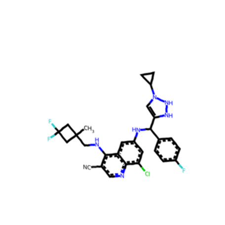 CC1(CNc2c(C#N)cnc3c(Cl)cc(NC(C4=CN(C5CC5)NN4)c4ccc(F)cc4)cc23)CC(F)(F)C1